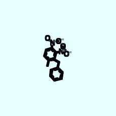 Cc1ccc([N+](=O)[O-])c([N+](=O)[O-])c1Cc1ccccc1